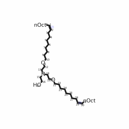 CCCCCCCC/C=C\CCCCCCCCOCCN(CCO)CCOCCCCCCCC/C=C\CCCCCCCC